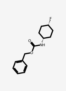 O=C(N[C@H]1CC[C@@H](F)CC1)OCc1ccccc1